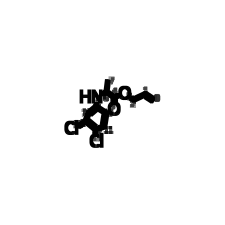 C=CCOC(=O)C(C)Nc1ccc(Cl)c(Cl)c1